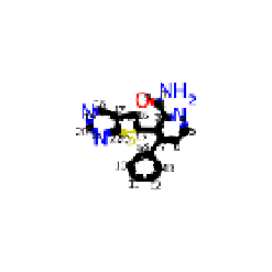 NC(=O)c1nccc(-c2ccccc2)c1-c1cc2cncnc2s1